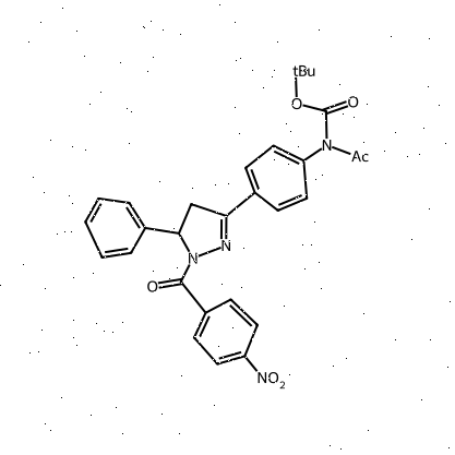 CC(=O)N(C(=O)OC(C)(C)C)c1ccc(C2=NN(C(=O)c3ccc([N+](=O)[O-])cc3)C(c3ccccc3)C2)cc1